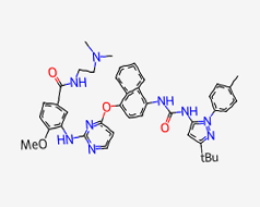 COc1ccc(C(=O)NCCN(C)C)cc1Nc1nccc(Oc2ccc(NC(=O)Nc3cc(C(C)(C)C)nn3-c3ccc(C)cc3)c3ccccc23)n1